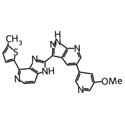 COc1cncc(-c2cnc3[nH]nc(-c4nc5c(-c6ccc(C)s6)nccc5[nH]4)c3c2)c1